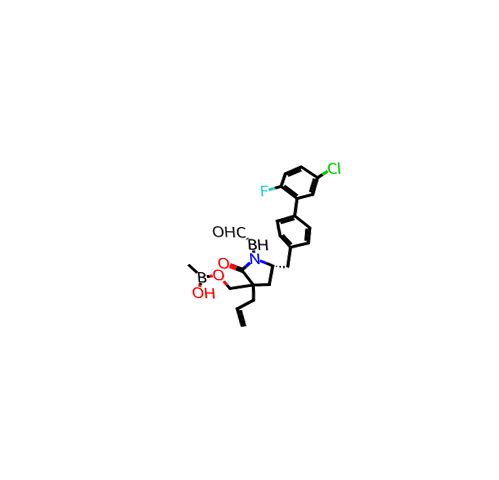 C=CCC1(COB(C)O)C[C@@H](Cc2ccc(-c3cc(Cl)ccc3F)cc2)N(BC=O)C1=O